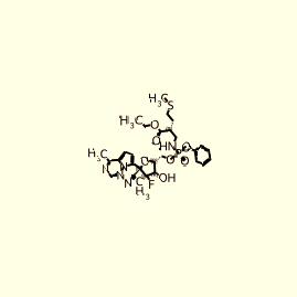 CCOC(=O)[C@H](CCSC)CNP(=O)(OC[C@H]1O[C@@](C#N)(c2ccc3c(C)ncnn23)[C@](C)(F)[C@@H]1O)Oc1ccccc1